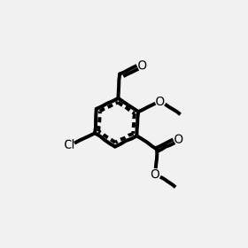 COC(=O)c1cc(Cl)cc(C=O)c1OC